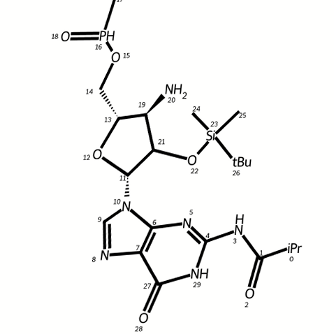 CC(C)C(=O)Nc1nc2c(ncn2[C@@H]2O[C@H](CO[PH](C)=O)[C@@H](N)C2O[Si](C)(C)C(C)(C)C)c(=O)[nH]1